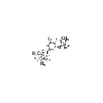 CN(Cc1ccc(B2OC(C)(C)C(C)(C)O2)cc1F)C(=O)C(F)(F)F